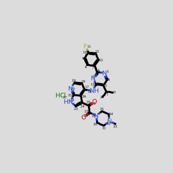 CC(C)c1cnc(-c2ccc(F)cc2)nc1Nc1ccnc2[nH]cc(C(=O)C(=O)N3CCN(C)CC3)c12.Cl